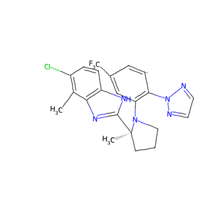 Cc1c(Cl)ccc2[nH]c([C@]3(C)CCCN3c3cc(C(F)(F)F)c[c]c3-n3nccn3)nc12